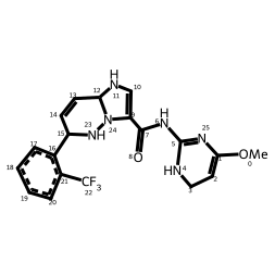 COC1=CCNC(NC(=O)C2=CNC3C=CC(c4ccccc4C(F)(F)F)NN23)=N1